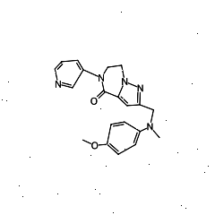 COc1ccc(N(C)Cc2cc3n(n2)CCN(c2cccnc2)C3=O)cc1